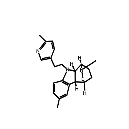 Cc1ccc2c(c1)[C@H]1[C@H]3CC[C@@H]([C@H]1N2CCc1ccc(C)nc1)N(C)C3